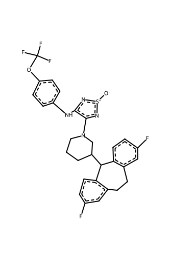 [O-][s+]1nc(Nc2ccc(OC(F)(F)F)cc2)c(N2CCCC(C3c4ccc(F)cc4CCc4cc(F)ccc43)C2)n1